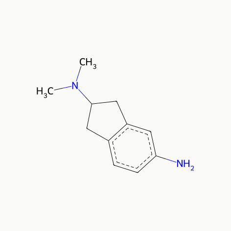 CN(C)C1Cc2ccc(N)cc2C1